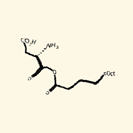 CCCCCCCCCCCC(=O)OC(=O)[C@@H](N)CC(=O)O